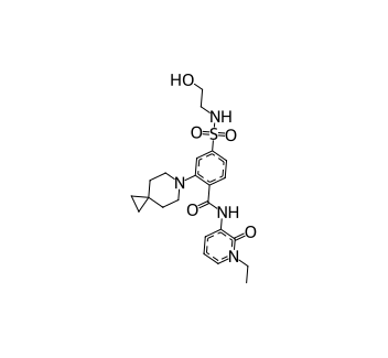 CCn1cccc(NC(=O)c2ccc(S(=O)(=O)NCCO)cc2N2CCC3(CC2)CC3)c1=O